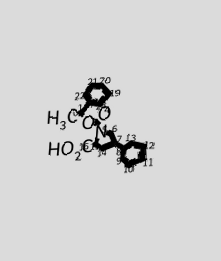 CC(OC(=O)N1CC(c2ccccc2)=CC1C(=O)O)c1ccccc1